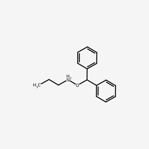 CCC[SiH2]OC(c1ccccc1)c1ccccc1